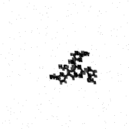 Cc1c(-c2ccn(C(C)C)n2)cn2nc(-c3nccn3C)nc(Nc3cnn(C(C)C)n3)c12